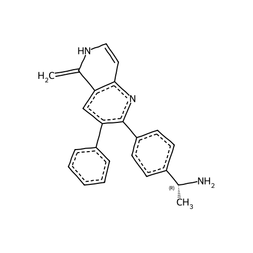 C=C1NC=Cc2nc(-c3ccc([C@@H](C)N)cc3)c(-c3ccccc3)cc21